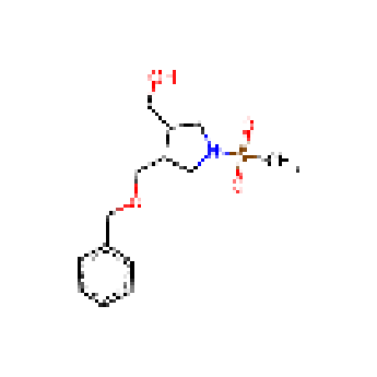 CS(=O)(=O)N1CC(CO)C(COCc2ccccc2)C1